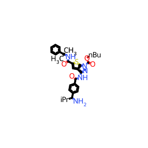 CCCCOC(=O)n1nc(NC(=O)c2ccc(C(N)C(C)C)cc2)c2cc(C(=O)NC(C)(C)c3ccccc3)sc21